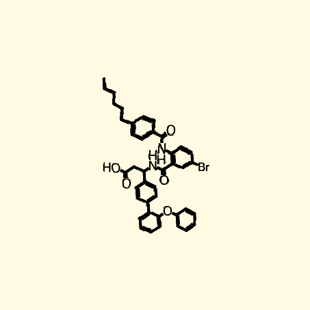 CCCCCCc1ccc(C(=O)Nc2ccc(Br)cc2C(=O)NC(CC(=O)O)c2ccc(-c3ccccc3Oc3ccccc3)cc2)cc1